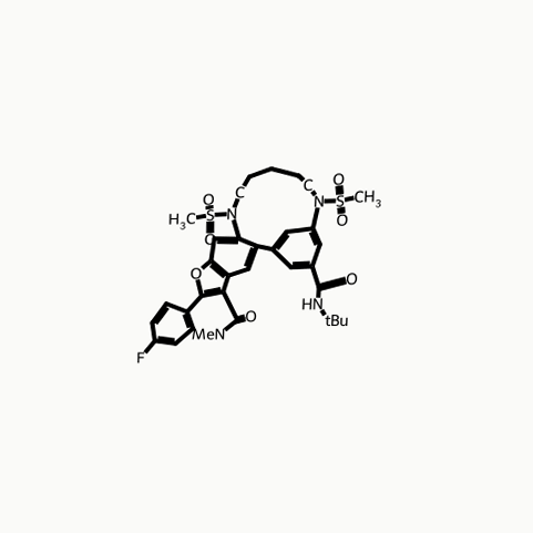 CNC(=O)c1c(-c2ccc(F)cc2)oc2cc3c(cc12)-c1cc(C(=O)NC(C)(C)C)cc(c1)N(S(C)(=O)=O)CCCCCN3S(C)(=O)=O